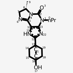 CCCN1C(=O)N2C(=NC[C@@H]2C)c2[nH]c(C34CCC(O)(CC3)CC4)nc21